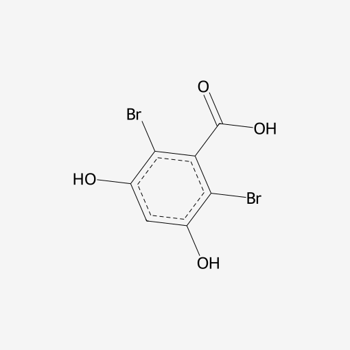 O=C(O)c1c(Br)c(O)cc(O)c1Br